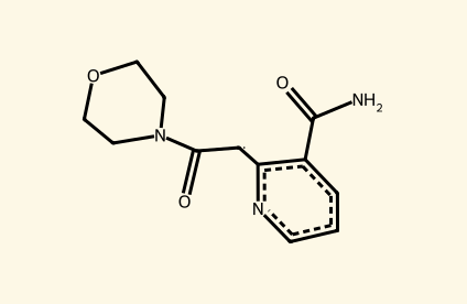 NC(=O)c1cccnc1[CH]C(=O)N1CCOCC1